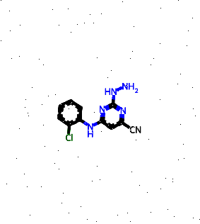 N#Cc1cc(Nc2ccccc2Cl)nc(NN)n1